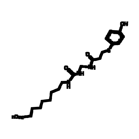 CCCCCCCCCCCCCCCCCCNC(=O)NCNC(=O)CCSc1ccc(O)cc1